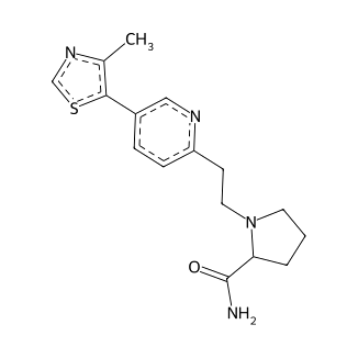 Cc1ncsc1-c1ccc(CCN2CCCC2C(N)=O)nc1